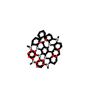 CN1c2ccccc2N(c2c(-c3ccccc3)c(N3c4ccccc4N(C)c4ccccc43)c(N3c4ccccc4N(C)c4ccccc43)c(N3c4ccccc4N(C)c4ccccc43)c2-c2nc3ccccc3o2)c2ccccc21